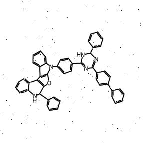 c1ccc(-c2ccc(C3=NC(c4ccccc4)NC(c4ccc(-n5c6ccccc6c6c7c(oc65)C(c5ccccc5)Nc5ccccc5-7)cc4)=N3)cc2)cc1